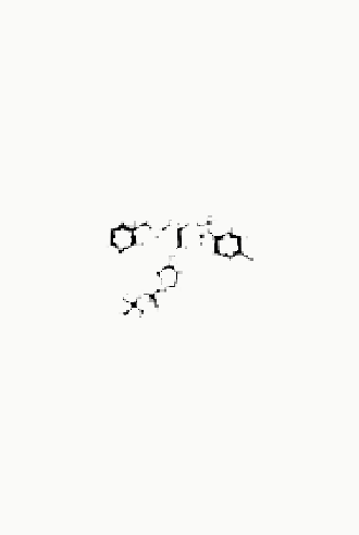 Cc1ccc(S(=O)(=O)O[C@H](COCc2ccccc2)CO[C@H]2CCN(C(=O)OC(C)(C)C)C2)cc1